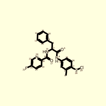 Cc1cc(NC(=O)C(Cc2ccccc2)NC(=O)c2ccc(F)cn2)ccc1SCl